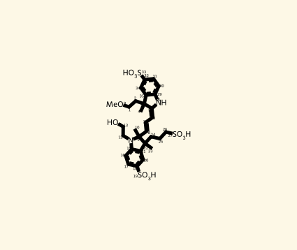 COCCC1(C)/C(=C\C=C\C2(C)N(CCO)c3ccc(S(=O)(=O)O)cc3C2(C)CCCS(=O)(=O)O)Nc2ccc(S(=O)(=O)O)cc21